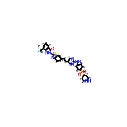 O=C(Nc1nc2ccc(C=Cc3cnc(Nc4ccc(S(=O)(=O)C5CCNCC5)cc4)nc3)cc2s1)c1cccc(C(F)(F)F)c1